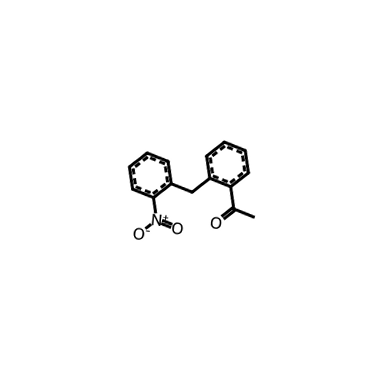 CC(=O)c1ccccc1Cc1ccccc1[N+](=O)[O-]